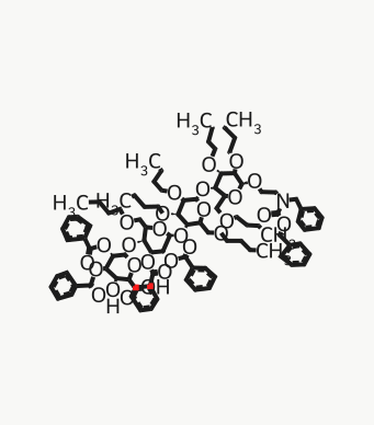 CCCCOCC1O[C@@H](O[C@@H]2C(COCCCC)O[C@H](O[C@H]3C(COCCCC)O[C@H](OCCN(Cc4ccccc4)C(=O)OCc4ccccc4)C(OCCCC)[C@H]3OCCCC)C(OCCCC)[C@H]2OCCCC)[C@@H](OC(=O)c2ccccc2)C(OC(=O)c2ccccc2)[C@@H]1O[C@@H]1OC(C(=O)O)[C@@H](O)C(OC(=O)c2ccccc2)[C@@H]1OC(=O)c1ccccc1